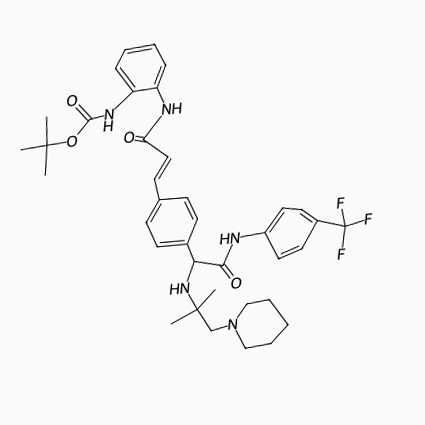 CC(C)(CN1CCCCC1)NC(C(=O)Nc1ccc(C(F)(F)F)cc1)c1ccc(C=CC(=O)Nc2ccccc2NC(=O)OC(C)(C)C)cc1